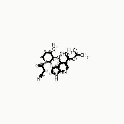 CC(C)OC(=O)c1cnc2[nH]ccc2c1N(C)[C@H]1CN(C(=O)CC#N)CC[C@H]1C